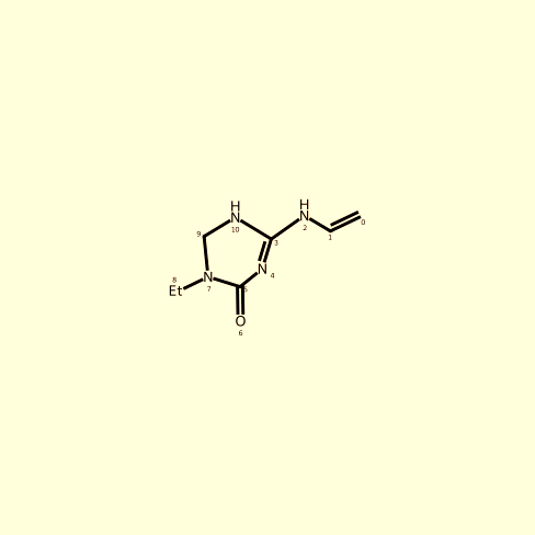 C=CNC1=NC(=O)N(CC)CN1